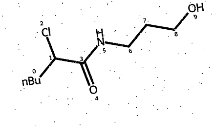 CCCCC(Cl)C(=O)NCCCO